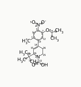 Cc1cc([N+](=O)[O-])c(OC(C)C)cc1C1=CC(C(C)(C)C)N(C(=O)O)CC1